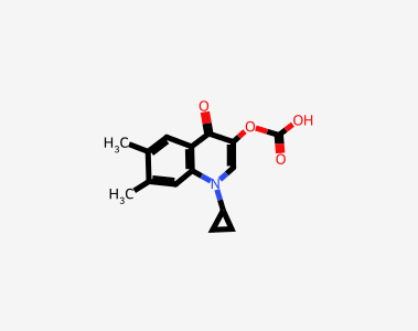 Cc1cc2c(=O)c(OC(=O)O)cn(C3CC3)c2cc1C